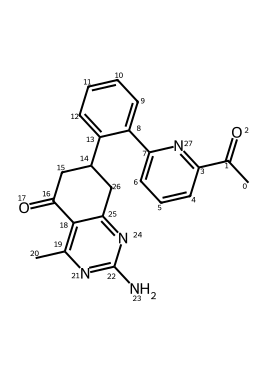 CC(=O)c1cccc(-c2ccccc2C2CC(=O)c3c(C)nc(N)nc3C2)n1